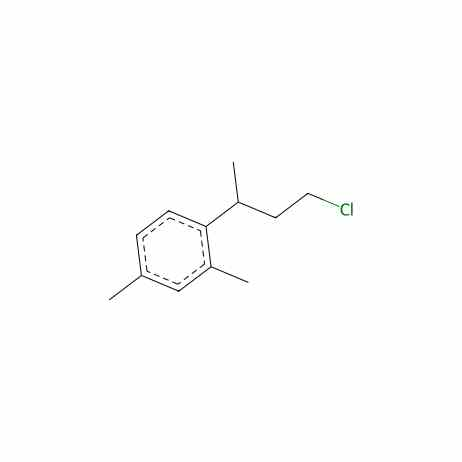 Cc1ccc(C(C)CCCl)c(C)c1